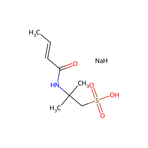 C/C=C/C(=O)NC(C)(C)CS(=O)(=O)O.[NaH]